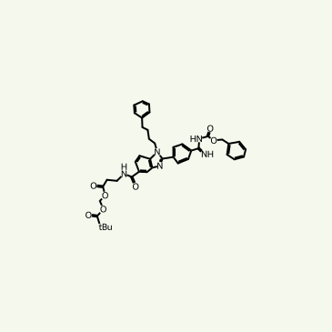 CC(C)(C)C(=O)OCOC(=O)CCNC(=O)c1ccc2c(c1)nc(-c1ccc(C(=N)NC(=O)OCc3ccccc3)cc1)n2CCCCc1ccccc1